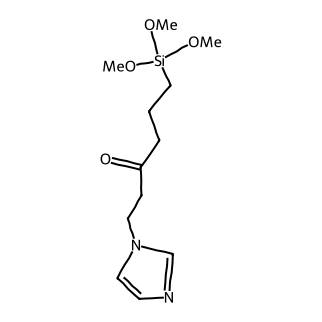 CO[Si](CCCC(=O)CCn1ccnc1)(OC)OC